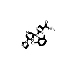 Cc1cccc(Cl)c1N(c1cncc(-n2ccnc2)n1)c1ncc(C(N)=O)s1